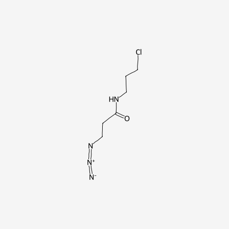 [N-]=[N+]=NCCC(=O)NCCCCl